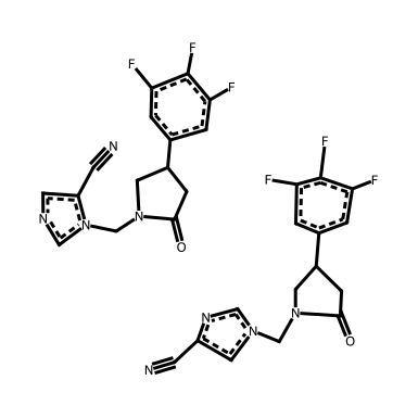 N#Cc1cn(CN2CC(c3cc(F)c(F)c(F)c3)CC2=O)cn1.N#Cc1cncn1CN1CC(c2cc(F)c(F)c(F)c2)CC1=O